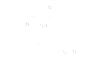 CCCCCO[C@@H](CN)C(=O)N[C@@H](C#N)Cc1ccc(-c2ccc3nccn3c2)cc1F